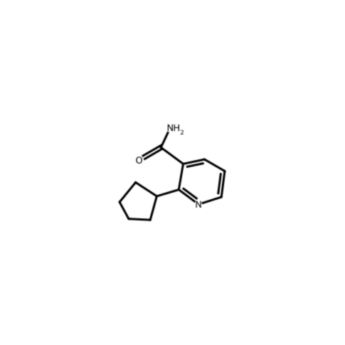 NC(=O)c1cccnc1C1CCCC1